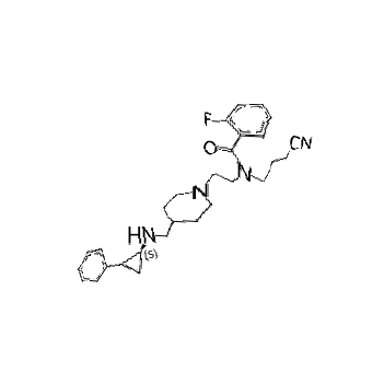 N#CCCCN(CCN1CCC(CN[C@H]2CC2c2ccccc2)CC1)C(=O)c1ccccc1F